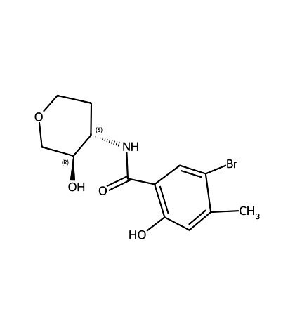 Cc1cc(O)c(C(=O)N[C@H]2CCOC[C@@H]2O)cc1Br